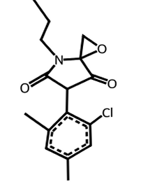 CCCN1C(=O)C(c2c(C)cc(C)cc2Cl)C(=O)C12CO2